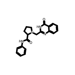 O=C(Nc1ccccc1)C1CCCN1Cc1nc2ccccc2c(=O)[nH]1